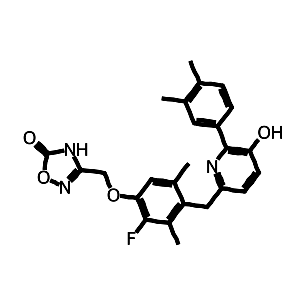 Cc1ccc(-c2nc(Cc3c(C)cc(OCc4noc(=O)[nH]4)c(F)c3C)ccc2O)cc1C